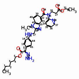 CCCCCCOC(=O)C(=NN)c1ccc(NCc2nc3cc(C(=O)N(CCC(=O)OCC)c4ccccn4)ccc3n2C)cc1